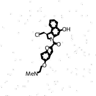 CNCCOc1ccc2oc(C(=O)N3C[C@@H](CCl)c4c3cc(O)c3ccccc43)cc2c1